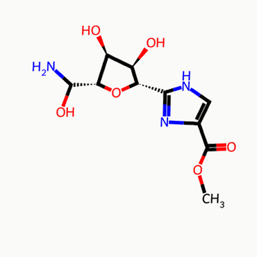 COC(=O)c1c[nH]c([C@@H]2O[C@H](C(N)O)[C@@H](O)[C@H]2O)n1